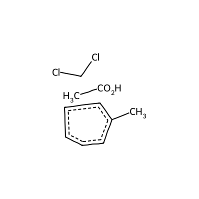 CC(=O)O.Cc1ccccc1.ClCCl